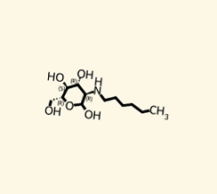 CCCCCCN[C@H]1C(O)O[C@H](CO)[C@@H](O)[C@@H]1O